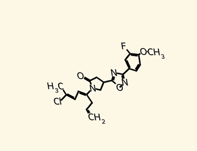 C=CC/C(=C\C=C(/C)Cl)N1CC(c2nc(-c3ccc(OC)c(F)c3)no2)CC1=O